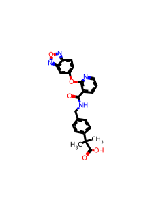 CC(C)(C(=O)O)c1ccc(CNC(=O)c2cccnc2Oc2ccc3nonc3c2)cc1